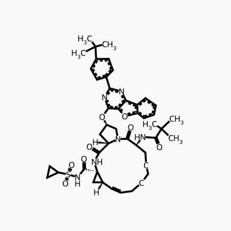 CC(C)(C)C(=O)N[C@H]1CCCCC/C=C\[C@@H]2C[C@@]2(C(=O)NS(=O)(=O)C2CC2)NC(=O)[C@@H]2C[C@@H](Oc3nc(-c4ccc(C(C)(C)C)cc4)nc4c3oc3ccccc34)CN2C1=O